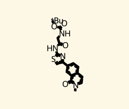 Cn1ccc2ccc(-c3csc(NC(=O)CNC(=O)OC(C)(C)C)n3)cc2c1=O